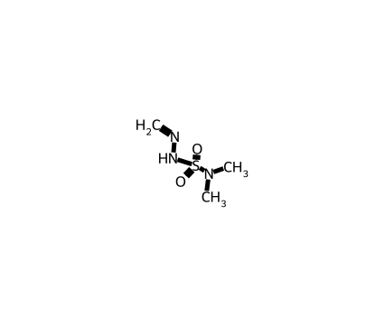 C=NNS(=O)(=O)N(C)C